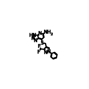 Nc1cc(SCc2cn(-c3ccccc3)nc2C(F)F)c2nn[nH]c2n1